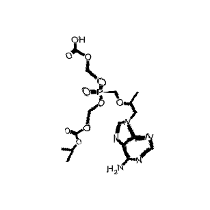 CC(C)OC(=O)OCO[P@@](=O)(COC(C)Cn1cnc2c(N)ncnc21)OCOC(=O)O